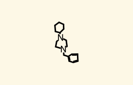 c1ccc(CN2CCN(C3CCCCC3)CC2)cc1